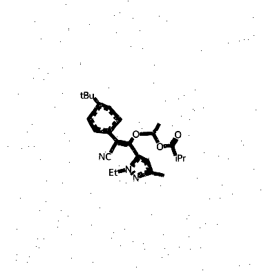 CCn1nc(C)cc1/C(OC(C)OC(=O)C(C)C)=C(\C#N)c1ccc(C(C)(C)C)cc1